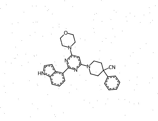 N#CC1(c2ccccc2)CCN(c2cc(N3CCOCC3)nc(-c3cccc4[nH]ccc34)n2)CC1